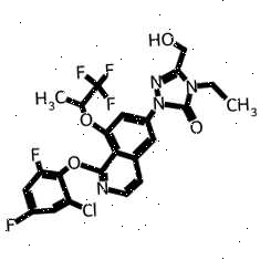 CCn1c(CO)nn(-c2cc(OC(C)C(F)(F)F)c3c(Oc4c(F)cc(F)cc4Cl)nccc3c2)c1=O